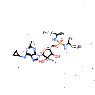 CCOC(=O)C(NP(=O)(NC(C(=O)OCC)C(C)C)OC[C@H]1O[C@@H](n2cnc3c(NC4CC4)nc(C)nc32)[C@@](C)(O)C1O)C(C)C